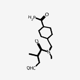 CC(CC=O)C(=O)N(C)CC1CCC(C(=O)P)CC1